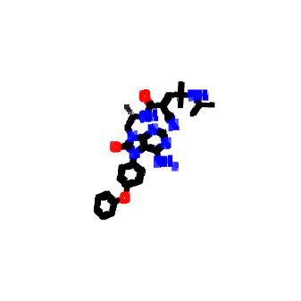 CC(C)NC(C)(C)/C=C(\C#N)C(=O)N[C@@H](C)Cn1c(=O)n(-c2ccc(Oc3ccccc3)cc2)c2c(N)ncnc21